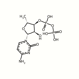 C[C@H]1O[C@@H](n2ccc(N)nc2=O)[C@H](O)[C@@H]1OP(=O)(O)OP(=O)(O)O